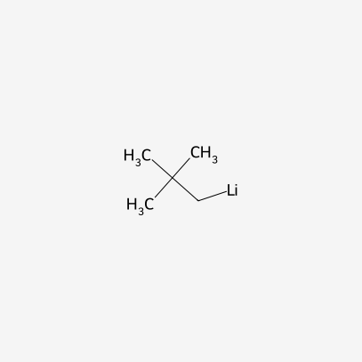 [Li][CH2]C(C)(C)C